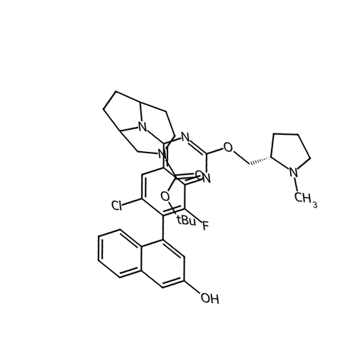 CN1CCC[C@H]1COc1nc(N2C3CCC2CN(C(=O)OC(C)(C)C)CC3)c2cc(Cl)c(-c3cc(O)cc4ccccc34)c(F)c2n1